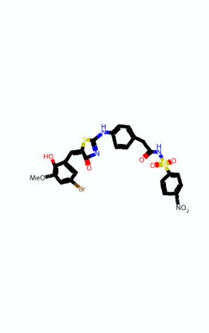 COc1cc(Br)cc(C=C2SC(Nc3ccc(CC(=O)NS(=O)(=O)c4ccc([N+](=O)[O-])cc4)cc3)=NC2=O)c1O